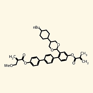 C=C(C)C(=O)Oc1ccc(-c2ccc(-c3ccc(OC(=O)C(=C)COC)cc3)cc2)c(C2OCC(C3CCC(CCCC)CC3)CO2)c1